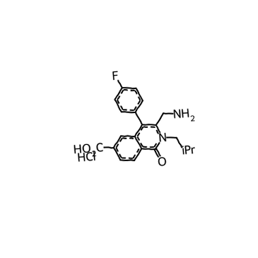 CC(C)Cn1c(CN)c(-c2ccc(F)cc2)c2cc(C(=O)O)ccc2c1=O.Cl